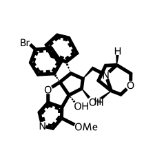 COc1cncc2c1[C@]1(O)[C@H](O)[C@H](CN3[C@@H]4CC[C@H]3COC4)[C@@H](c3ccccc3)[C@]1(c1ccc(Br)cc1)O2